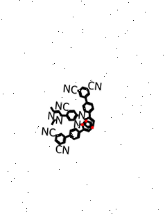 Cc1cc(-c2cc(-n3c4ccccc4c4ccc(-c5cc(C#N)cc(C#N)c5)cc43)c(-n3c4ccccc4c4ccc(-c5cc(C#N)cc(C#N)c5)cc43)cc2C#N)nc(C)n1